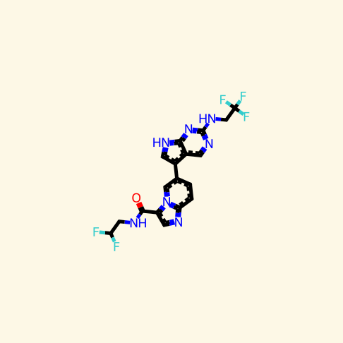 O=C(NCC(F)F)c1cnc2ccc(-c3c[nH]c4nc(NCC(F)(F)F)ncc34)cn12